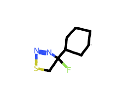 FC1(C2C[CH]CCC2)CSN=N1